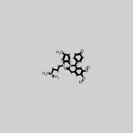 CCOc1cc2c(cc1OCC)C(c1ccc(Cl)cc1)N(c1ccc(C)cc1OCCCN(C)C)C(=O)C2